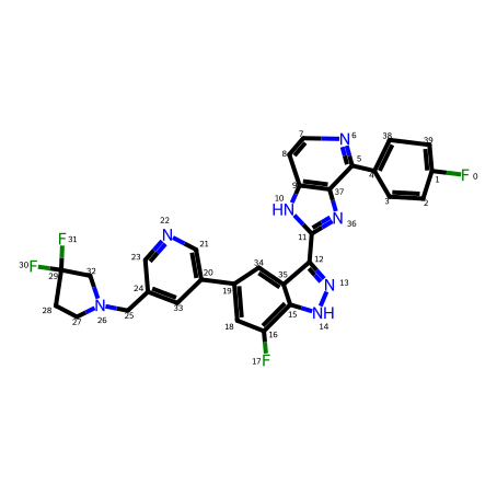 Fc1ccc(-c2nccc3[nH]c(-c4n[nH]c5c(F)cc(-c6cncc(CN7CCC(F)(F)C7)c6)cc45)nc23)cc1